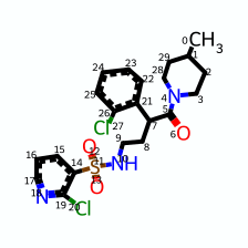 CC1CCN(C(=O)C(CCNS(=O)(=O)c2cccnc2Cl)c2ccccc2Cl)CC1